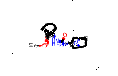 CCOc1ccccc1NC(=O)NC1CC2CCC(C1)N2C